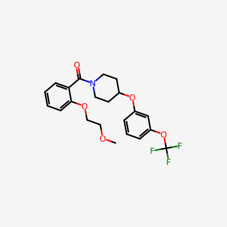 COCCOc1ccccc1C(=O)N1CCC(Oc2cccc(OC(F)(F)F)c2)CC1